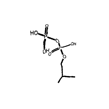 CC(C)COP(=O)(O)OP(=O)(O)O